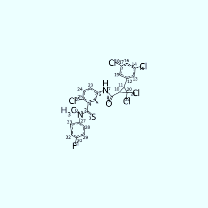 CN(C(=S)c1cc(NC(=O)C2C(c3cc(Cl)cc(Cl)c3)C2(Cl)Cl)ccc1Cl)c1ccc(F)cc1